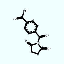 O=C(O)c1ccc(C(=O)N2C(=O)CCC2=O)cc1